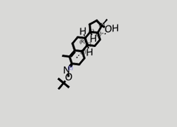 CC1=C2CC[C@@H]3[C@H](CC[C@@]4(C)[C@H]3CC[C@]4(C)O)[C@@]2(C)CC/C1=N\OC(C)(C)C